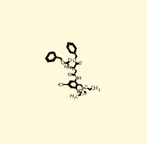 CCOP(=O)(Cc1c(N)cc(Cl)cc1NC(=O)C[C@@H](NC(=O)OCc1ccccc1)C(=O)OCc1ccccc1)OCC